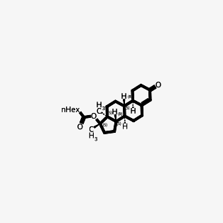 CCCCCCC(=O)O[C@@]1(C)CC[C@H]2[C@@H]3CCC4=CC(=O)CC[C@@H]4[C@H]3CC[C@@]21C